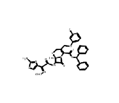 CON=C(C(=O)NC1C(=O)N2C(C(=O)OC(c3ccccc3)c3ccccc3)=C(COc3cccc(F)c3)CS[C@@H]12)c1csc(N)n1